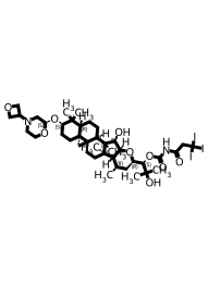 C[C@@H]1C[C@H]([C@H](OC(=O)NC(=O)CC(I)(I)I)C(C)(C)O)O[C@H]2[C@H]1[C@@]1(C)CC[C@@]34C[C@@]35CC[C@H](O[C@H]3CN(C6COC6)CCO3)C(C)(C)[C@@H]5CC[C@H]4[C@]1(C)[C@H]2O